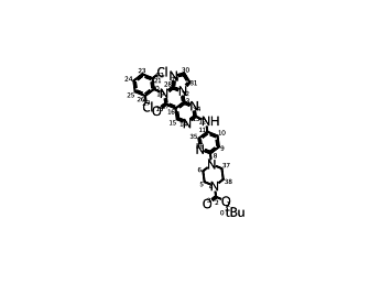 CC(C)(C)OC(=O)N1CCN(c2ccc(Nc3ncc4c(=O)n(-c5c(Cl)cccc5Cl)c5nccn5c4n3)cn2)CC1